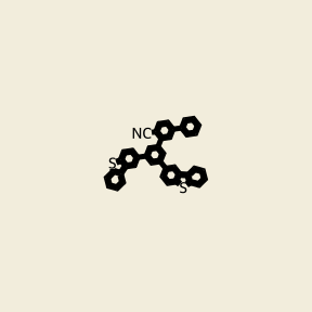 N#Cc1ccc(-c2ccccc2)cc1-c1cc(-c2ccc3sc4ccccc4c3c2)cc(-c2ccc3sc4ccccc4c3c2)c1